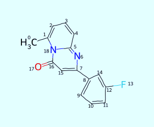 Cc1cccc2nc(-c3cccc(F)c3)cc(=O)n12